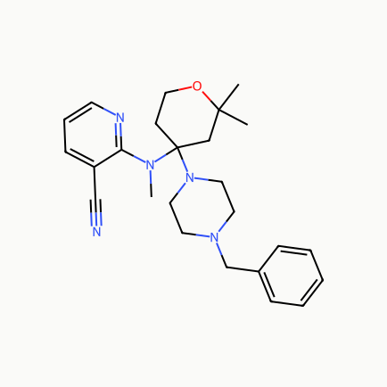 CN(c1ncccc1C#N)C1(N2CCN(Cc3ccccc3)CC2)CCOC(C)(C)C1